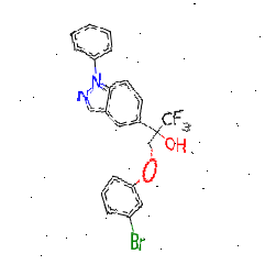 OC(COc1cccc(Br)c1)(c1ccc2c(cnn2-c2ccccc2)c1)C(F)(F)F